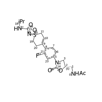 CC(=O)NC[C@H]1CN(c2ccc(C3=CCS(=O)(=NC(=O)NC(C)C)CC3)c(F)c2)C(=O)O1